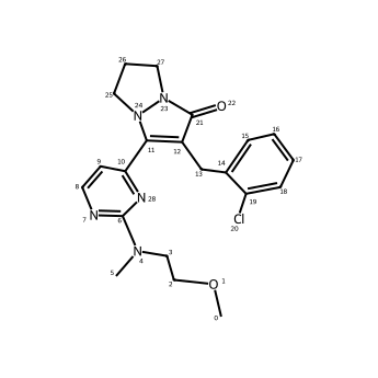 COCCN(C)c1nccc(-c2c(Cc3ccccc3Cl)c(=O)n3n2CCC3)n1